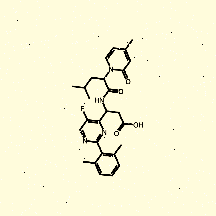 Cc1ccn(C(CC(C)C)C(=O)NC(CC(=O)O)c2nc(-c3c(C)cccc3C)ncc2F)c(=O)c1